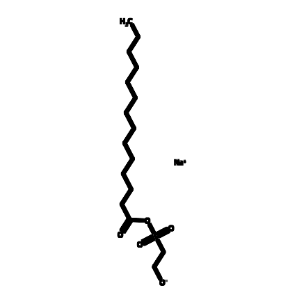 CCCCCCCCCCCCCC(=O)OS(=O)(=O)CC[O-].[Na+]